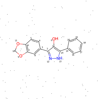 Oc1c(-c2ccc3c(c2)OCO3)n[nH]c1-c1ccccc1